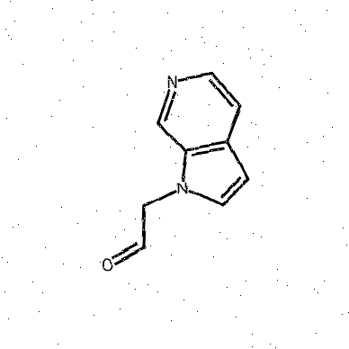 O=CCn1ccc2ccncc21